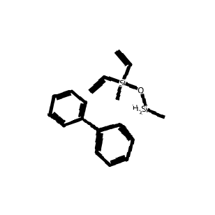 C=C[Si](C)(C=C)O[SiH2]C.c1ccc(-c2ccccc2)cc1